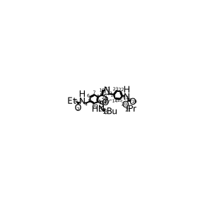 CCC(=O)NCc1ccc(-c2cnc(-c3ccc(NC(=O)OC(C)C)cc3)s2)c([S+]([O-])NC(C)(C)C)c1